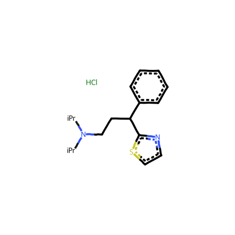 CC(C)N(CCC(c1ccccc1)c1nccs1)C(C)C.Cl